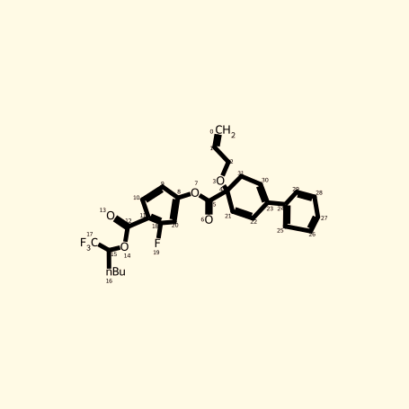 C=CCOC1(C(=O)Oc2ccc(C(=O)OC(CCCC)C(F)(F)F)c(F)c2)C=CC(c2ccccc2)=CC1